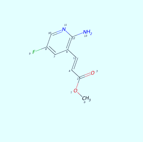 COC(=O)/C=C/c1cc(F)cnc1N